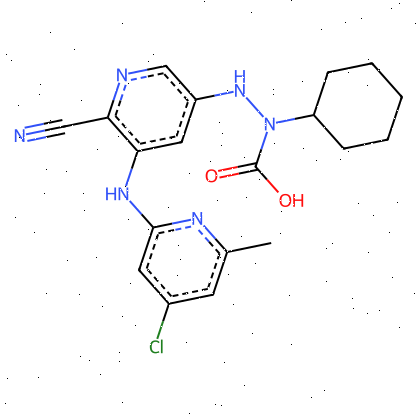 Cc1cc(Cl)cc(Nc2cc(NN(C(=O)O)C3CCCCC3)cnc2C#N)n1